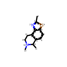 Cc1nc2c3c(ccc2s1)C(C)N(C)CC3